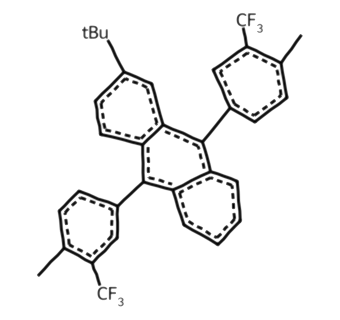 Cc1ccc(-c2c3ccccc3c(-c3ccc(C)c(C(F)(F)F)c3)c3cc(C(C)(C)C)ccc23)cc1C(F)(F)F